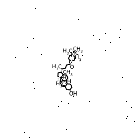 CC(CCC(=O)N1CCN(C(C)(C)C)CC1)[C@H]1CC[C@H]2[C@@H]3CC=C4C[C@@H](O)CC[C@]4(C)[C@H]3CC[C@]12C